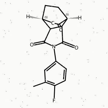 Cc1cc(N2C(=O)C3C(C2=O)[C@@H]2CC[C@H]3CC2=O)ccc1F